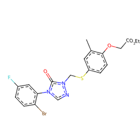 CCOC(=O)COc1ccc(SCn2ncn(-c3cc(F)ccc3Br)c2=O)cc1C